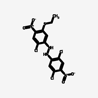 CCSc1cc(NNc2cc(Cl)c([N+](=O)[O-])cc2Cl)c(Cl)cc1[N+](=O)[O-]